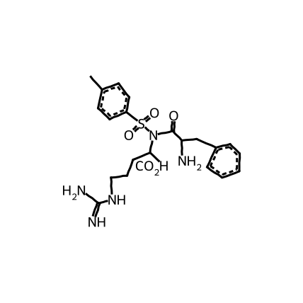 Cc1ccc(S(=O)(=O)N(C(=O)C(N)Cc2ccccc2)C(CCCNC(=N)N)C(=O)O)cc1